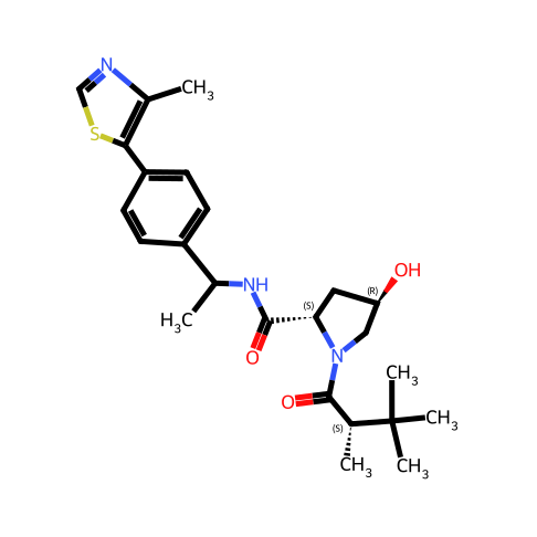 Cc1ncsc1-c1ccc(C(C)NC(=O)[C@@H]2C[C@@H](O)CN2C(=O)[C@@H](C)C(C)(C)C)cc1